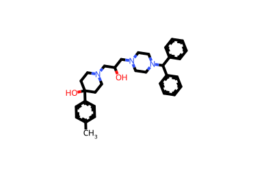 Cc1ccc(C2(O)CCN(CC(O)CN3CCN(C(c4ccccc4)c4ccccc4)CC3)CC2)cc1